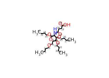 CCCCOCC1O[C@@H](OCCCC)C(NC(=O)CCC(=O)O)C(OCCCC)[C@H]1OCCCC